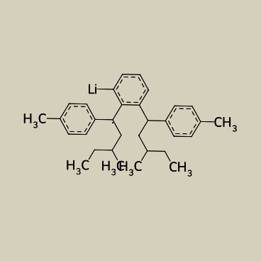 [Li][c]1cccc(C(CC(C)CC)c2ccc(C)cc2)c1[C](CC(C)CC)c1ccc(C)cc1